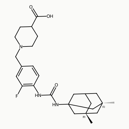 C[C@]12CC3CC(NC(=O)Nc4ccc(CN5CCC(C(=O)O)CC5)cc4F)(C1)C[C@@](C)(C3)C2